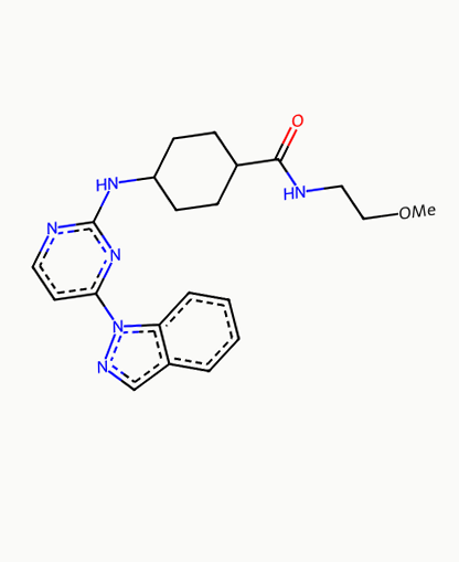 COCCNC(=O)C1CCC(Nc2nccc(-n3ncc4ccccc43)n2)CC1